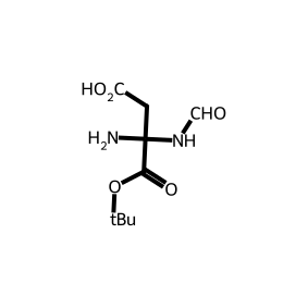 CC(C)(C)OC(=O)C(N)(CC(=O)O)NC=O